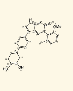 COc1cccc(F)c1-n1nc2c(-c3ccc(N4CCN(C)C(O)C4)cc3)n[nH]c2cc1=O